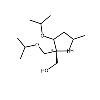 CC1CC(OC(C)C)[C@@](CO)(COC(C)C)N1